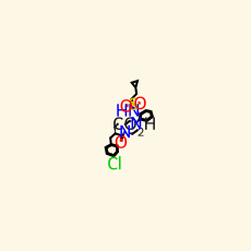 O=C(O)C[C@H](Cc1ccc(Cl)cc1)C(=O)N1CCN(c2ccccc2NS(=O)(=O)CCC2CC2)CC1